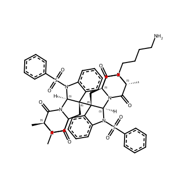 CN1C(=O)C23C[C@]4([C@]56C[C@@]78SS[C@@](C)(C(=O)N7[C@H]5N(S(=O)(=O)c5ccccc5)c5ccccc56)N(CCCCN)C8=O)c5ccccc5N(S(=O)(=O)c5ccccc5)[C@@H]4N2C(=O)[C@]1(C)SS3